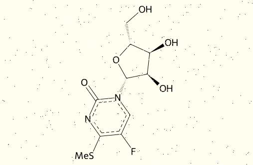 CSc1nc(=O)n([C@@H]2O[C@H](CO)[C@@H](O)[C@H]2O)cc1F